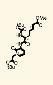 COC(=O)/C=C/CC[C@H](NC(=O)OC(C)(C)C)C(=O)Nc1cccn(CC(=O)OC(C)(C)C)c1=O